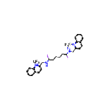 C[n+]1c(CNC(I)CCCCC(I)NCc2ccc3ccccc3[n+]2C)ccc2ccccc21